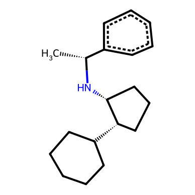 C[C@@H](N[C@@H]1CCC[C@@H]1C1CCCCC1)c1ccccc1